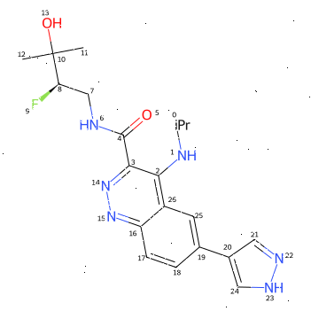 CC(C)Nc1c(C(=O)NC[C@@H](F)C(C)(C)O)nnc2ccc(-c3cn[nH]c3)cc12